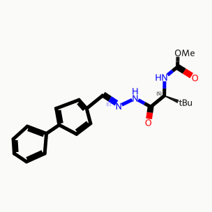 COC(=O)N[C@H](C(=O)N/N=C/c1ccc(-c2ccccc2)cc1)C(C)(C)C